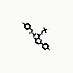 CC(C)(O)CNc1nc(NCc2ccc(F)cc2)nc2ccc(-c3ccc(F)cc3)nc12